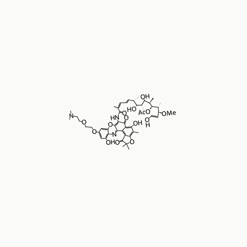 CO[C@@H](/C=C/O)[C@@H](C)[C@@H](OC(C)=O)[C@H](C)[C@H](O)[C@H](C)[C@@H](O)[C@@H](C)/C=C/C=C(/C)C(=O)Nc1c2oc3cc(OCCOCCN(C)C)cc(O)c3nc-2c2c3c(c(C)c(O)c2c1=O)OC(C)(C)C3=O